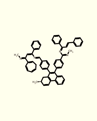 C\N=C(/N=C(\C=C\c1ccccc1)c1ccccc1)c1ccc(-c2c(-c3ccc(/C=N/C(=C\C(=N/C)C4=CCC=CC=C4)c4ccccc4)cc3)c3c(c4ccccc24)C=C[C@@H](C)C3)cc1